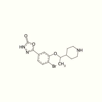 CC(Oc1cc(-c2n[nH]c(=O)o2)ccc1Br)C1CCNCC1